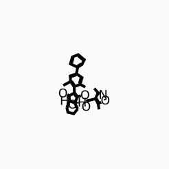 Cc1cc(-c2ccccc2)cc(C)c1C1=C(OC(=O)c2c(C)noc2C)[C@@H]2C3CCC(O3)[C@@H]2C1=O